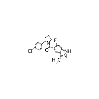 Cc1n[nH]c2cc(F)c(C(=O)N3CCC[C@@H]3c3ccc(Cl)cc3)cc12